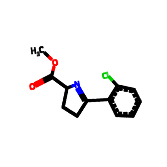 COC(=O)C1CCC(c2ccccc2Cl)=N1